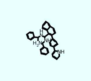 CC(NC(NC(N)c1ccccc1)c1c(-c2ccc(C3=CC=CCN3)cc2)ccc2ccccc12)c1ccccc1